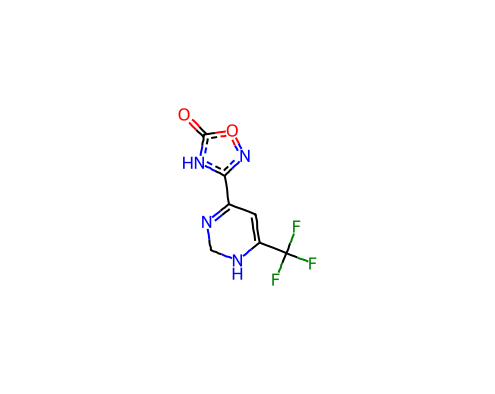 O=c1[nH]c(C2=NCNC(C(F)(F)F)=C2)no1